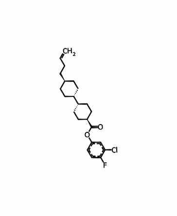 C=CCC[C@H]1CC[C@H]([C@H]2CC[C@H](C(=O)Oc3ccc(F)c(Cl)c3)CC2)CC1